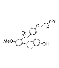 CCCNCCOc1ccc(CN(CC)c2cc(OC)ccc2C2CCc3cc(O)ccc3C2)cc1